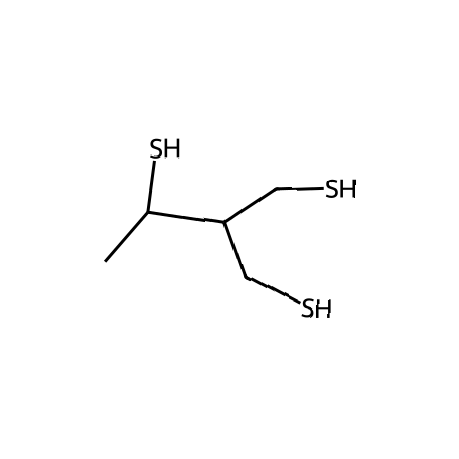 CC(S)C(CS)CS